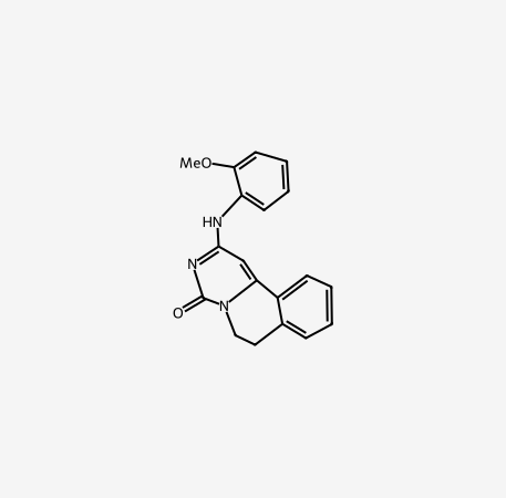 COc1ccccc1Nc1cc2n(c(=O)n1)CCc1ccccc1-2